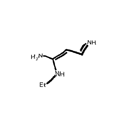 CCN/C(N)=C\C=N